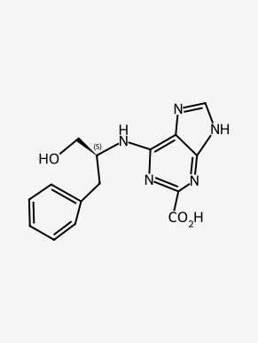 O=C(O)c1nc(N[C@H](CO)Cc2ccccc2)c2nc[nH]c2n1